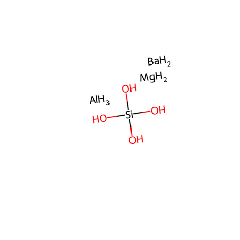 O[Si](O)(O)O.[AlH3].[BaH2].[MgH2]